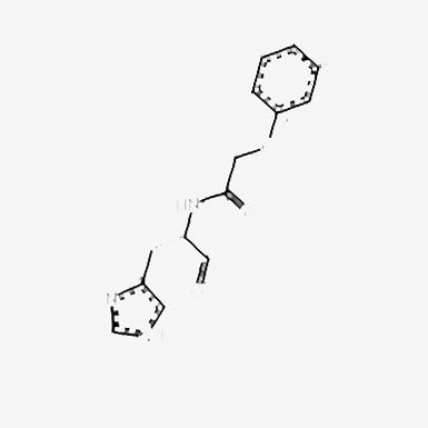 O=[C][C@H](Cc1c[nH]cn1)NC(=O)COc1ccccc1